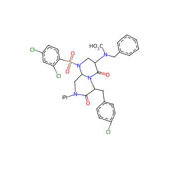 CC(C)N1CC2N(C(=O)C(N(Cc3ccccc3)C(=O)O)CN2S(=O)(=O)c2ccc(Cl)cc2Cl)C(Cc2ccc(Cl)cc2)C1=O